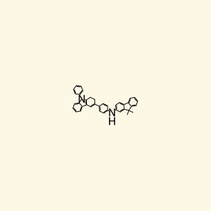 CC1(C)c2ccccc2-c2ccc(Nc3ccc(C4=Cc5c(n(-c6ccccc6)c6ccccc56)CC4)cc3)cc21